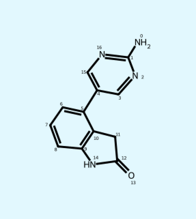 Nc1ncc(-c2cccc3c2CC(=O)N3)cn1